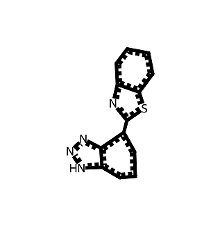 c1ccc2sc(-c3cccc4[nH]nnc34)nc2c1